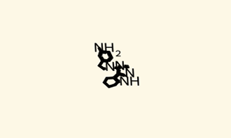 Nc1ccc2c(c1)CCN2c1ncnc2[nH]c3c(c12)CCCC3